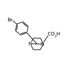 O=C(O)N1CC(c2ccc(Br)cc2)N2CCC1CC2